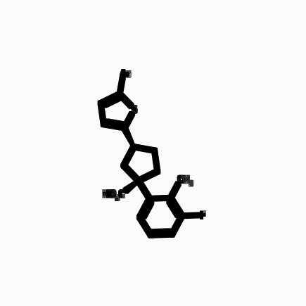 CC(=O)c1ccc([C@H]2CC[C@](C(=O)O)(c3cccc(F)c3C)C2)s1